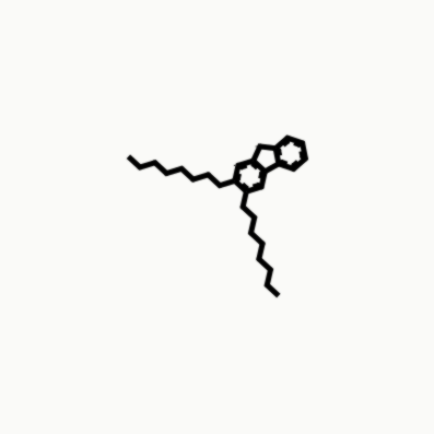 CCCCCCCCc1[c]c2c(cc1CCCCCCCC)-c1ccccc1[CH]2